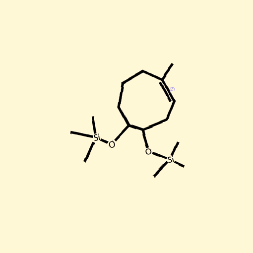 C/C1=C/CC(O[Si](C)(C)C)C(O[Si](C)(C)C)CCC1